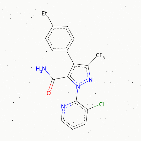 CCc1ccc(-c2c(C(F)(F)F)nn(-c3ncccc3Cl)c2C(N)=O)cc1